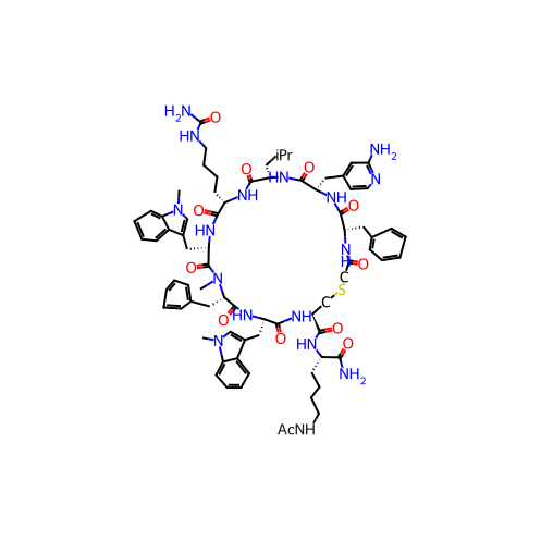 CC(=O)NCCCC[C@H](NC(=O)[C@@H]1CSCC(=O)N[C@@H](Cc2ccccc2)C(=O)N[C@@H](Cc2ccnc(N)c2)C(=O)N[C@@H](CC(C)C)C(=O)N[C@@H](CCCCNC(N)=O)C(=O)N[C@@H](Cc2cn(C)c3ccccc23)C(=O)N(C)[C@@H](Cc2ccccc2)C(=O)N[C@@H](Cc2cn(C)c3ccccc23)C(=O)N1)C(N)=O